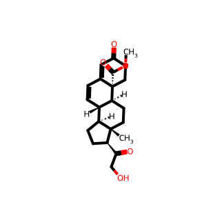 COC(=O)[C@@]12CCC(=O)C=C1C=C[C@@H]1[C@@H]2CC[C@]2(C)[C@@H](C(=O)CO)CC[C@@H]12